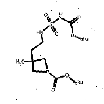 CC1(CCNS(=O)(=O)NC(=O)OC(C)(C)C)CN(C(=O)OC(C)(C)C)C1